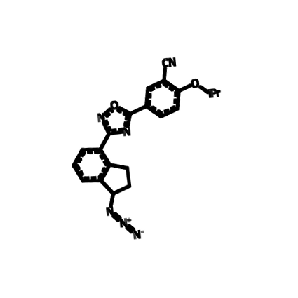 CC(C)Oc1ccc(-c2nc(-c3cccc4c3CCC4N=[N+]=[N-])no2)cc1C#N